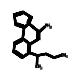 CCCC(C)c1cccc2c1cc(P)c1ccccc12